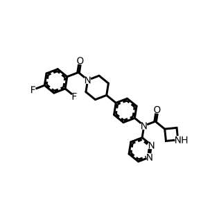 O=C(c1ccc(F)cc1F)N1CCC(c2ccc(N(C(=O)C3CNC3)c3cccnn3)cc2)CC1